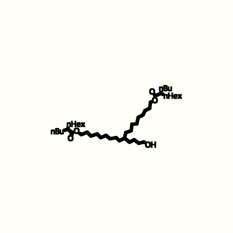 CCCCCCC(CCCC)C(=O)OCCCCCCCCCC(CCCCO)CCCCCCCCCOC(=O)C(CCCC)CCCCCC